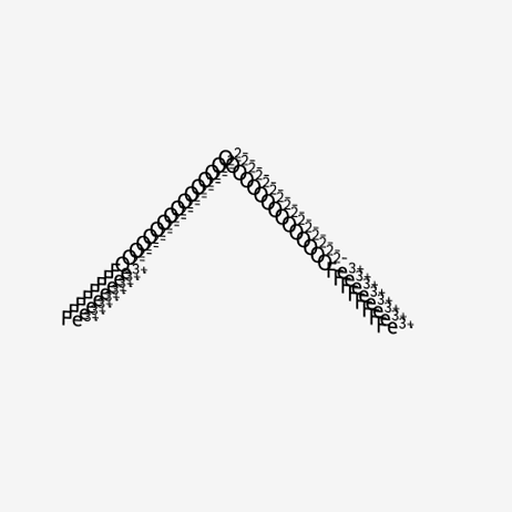 [Fe+3].[Fe+3].[Fe+3].[Fe+3].[Fe+3].[Fe+3].[Fe+3].[Fe+3].[Fe+3].[Fe+3].[Fe+3].[Fe+3].[Fe+3].[Fe+3].[Fe+3].[Fe+3].[O-2].[O-2].[O-2].[O-2].[O-2].[O-2].[O-2].[O-2].[O-2].[O-2].[O-2].[O-2].[O-2].[O-2].[O-2].[O-2].[O-2].[O-2].[O-2].[O-2].[O-2].[O-2].[O-2].[O-2].[O-2].[O-2].[O-2].[O-2].[O-2].[O-2]